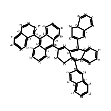 C1=CC2=CC(c3c4c(c(-c5ccc6ccccc6c5)c5ccccc35)CCC(c3c5ccccc5c(-c5nccc6ccccc56)c5ccccc35)=C4)=CCC2C=C1